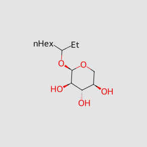 CCCCCCC(CC)O[C@H]1OC[C@@H](O)[C@H](O)[C@H]1O